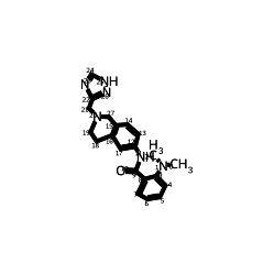 CN(C)c1ccccc1C(=O)Nc1ccc2c(c1)CCN(Cc1nc[nH]n1)C2